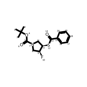 CC(C)(C)OC(=O)N1C[C@H](F)[C@H](SC(=O)c2ccccc2)C1